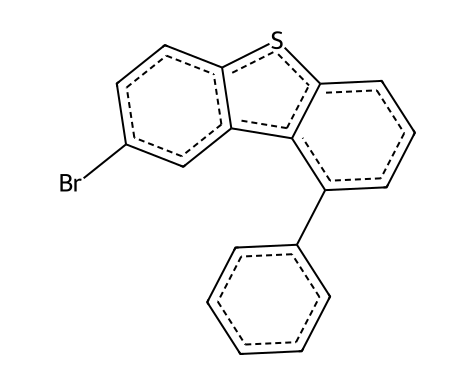 Brc1ccc2sc3cccc(-c4ccccc4)c3c2c1